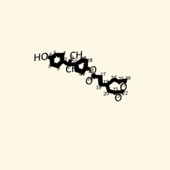 CC(C)(c1ccc(O)cc1)c1ccc(OC(=O)C=CC(CC2CO2)CC2CO2)cc1